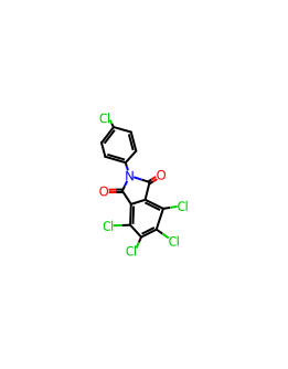 O=C1c2c(Cl)c(Cl)c(Cl)c(Cl)c2C(=O)N1c1ccc(Cl)cc1